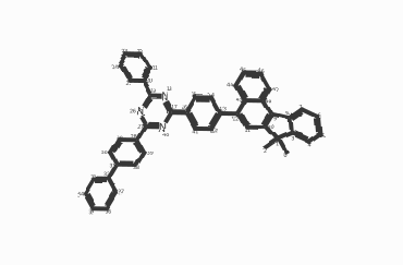 CC1(C)c2ccccc2-c2c1cc(-c1ccc(-c3nc(-c4ccccc4)nc(-c4ccc(-c5ccccc5)cc4)n3)cc1)c1ccccc21